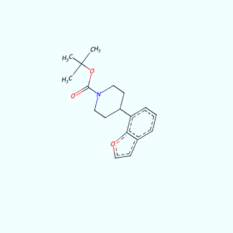 CC(C)(C)OC(=O)N1CCC(c2cccc3ccoc23)CC1